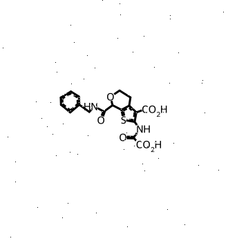 O=C(O)C(=O)Nc1sc2c(c1C(=O)O)CCOC2C(=O)NCc1ccccc1